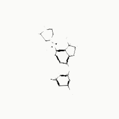 O=S(=O)(c1ccc(Oc2cc(F)cc(F)c2)c2c1C(O)CC2)N1CCOCC1